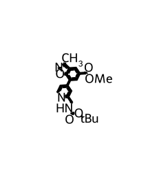 COC(=O)c1cc(-c2ccnc(CNC(=O)OC(C)(C)C)c2)c2onc(C)c2c1